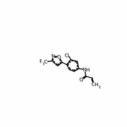 C=CC(=O)Nc1ccc(-c2cc(C(F)(F)F)no2)c(Cl)c1